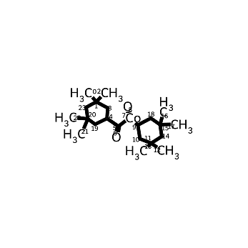 CC1(C)CC([C](=O)[Co](=[O])[CH]2CC(C)(C)CC(C)(C)C2)CC(C)(C)C1